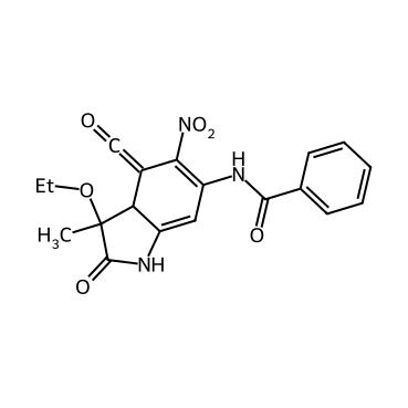 CCOC1(C)C(=O)NC2=CC(NC(=O)c3ccccc3)=C([N+](=O)[O-])C(=C=O)C21